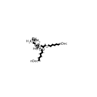 CCCCCCCCCCCCCCCCOCC(COP(=O)(O)OCC[N+](C)(C)C)OC(=O)CCCCCCCCCCCCCCC